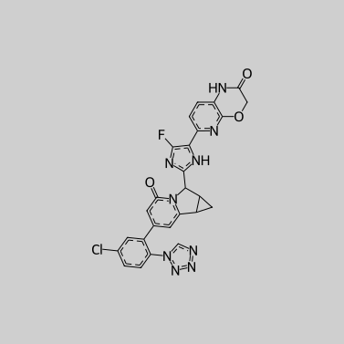 O=C1COc2nc(-c3[nH]c(C4C5CC5c5cc(-c6cc(Cl)ccc6-n6cnnn6)cc(=O)n54)nc3F)ccc2N1